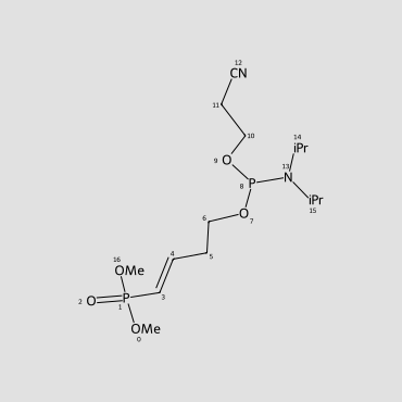 COP(=O)(C=CCCOP(OCCC#N)N(C(C)C)C(C)C)OC